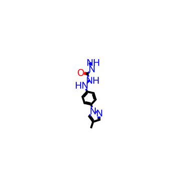 Cc1cnn(-c2ccc(NNC(=O)N=N)cc2)c1